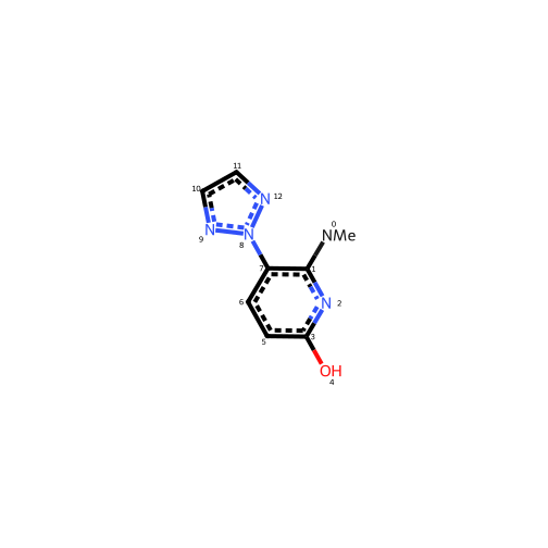 CNc1nc(O)ccc1-n1nccn1